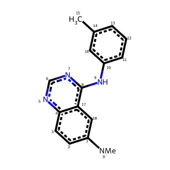 CNc1ccc2ncnc(Nc3cccc(C)c3)c2c1